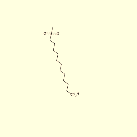 CS(=O)(=O)CCCCCCCCCCCC(=O)O